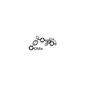 COc1ccccc1N1CCN(C(=O)c2ccc(N[S+]([O-])c3ccc(F)cc3C)cc2)CC1